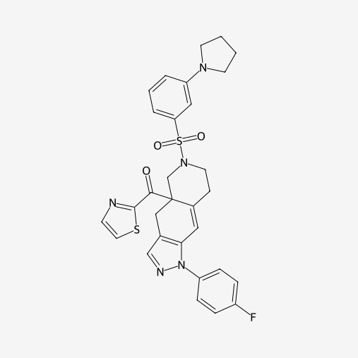 O=C(c1nccs1)C12Cc3cnn(-c4ccc(F)cc4)c3C=C1CCN(S(=O)(=O)c1cccc(N3CCCC3)c1)C2